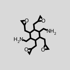 NCC1C(CC2CO2)C(CC2CO2)C(CN)C(CC2CO2)C1CC1CO1